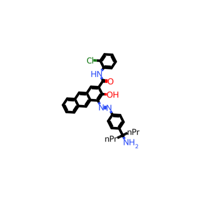 CCCC(N)(CCC)c1ccc(N=Nc2c(O)c(C(=O)Nc3ccccc3Cl)cc3cc4ccccc4cc23)cc1